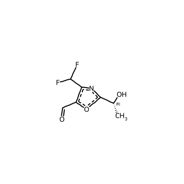 C[C@@H](O)c1nc(C(F)F)c(C=O)o1